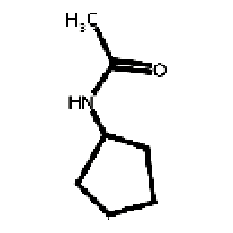 CC(=O)NC1C[CH]CC1